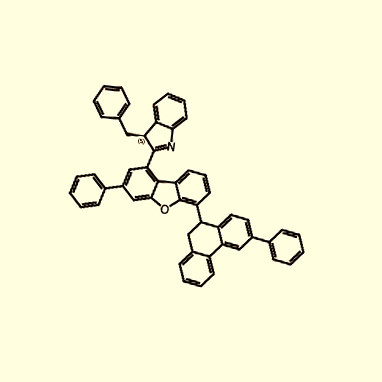 c1ccc(C[C@@H]2C(c3cc(-c4ccccc4)cc4oc5c(C6Cc7ccccc7-c7cc(-c8ccccc8)ccc76)cccc5c34)=Nc3ccccc32)cc1